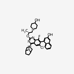 C[C@H](CN1CCC(O)CC1)Oc1nc(N2CC3CCC(C2)N3)c2cc(Cl)c(-c3cc(O)cc4ccccc34)c(F)c2n1